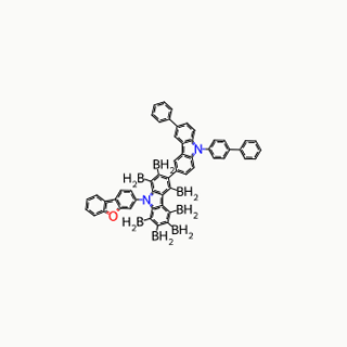 Bc1c(B)c(B)c2c(c1B)c1c(B)c(-c3ccc4c(c3)c3cc(-c5ccccc5)ccc3n4-c3ccc(-c4ccccc4)cc3)c(B)c(B)c1n2-c1ccc2c(c1)oc1ccccc12